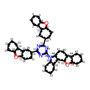 c1ccc2c(c1)oc1ccc(-c3nc(-c4ccc5oc6ccccc6c5c4)nc(-n4c5ccccc5c5c6oc7ccccc7c6ccc54)n3)cc12